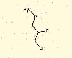 COCC(F)CO